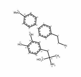 CC(=O)CCc1ccccc1.CC(N)(Cc1ccc(O)c(O)c1)C(=O)O.COc1ccccc1